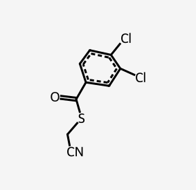 N#CCSC(=O)c1ccc(Cl)c(Cl)c1